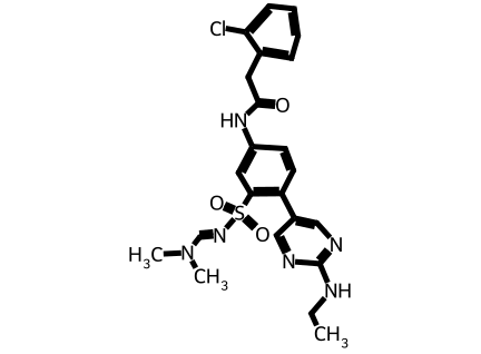 CCNc1ncc(-c2ccc(NC(=O)Cc3ccccc3Cl)cc2S(=O)(=O)N=CN(C)C)cn1